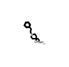 NCC1(O)CCN(CCc2ccccc2)CC1